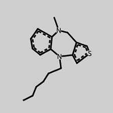 CCCCCCN1c2cscc2CN(C)c2ccccc21